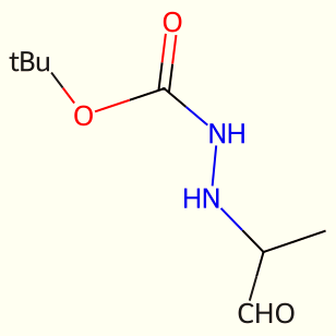 CC(C=O)NNC(=O)OC(C)(C)C